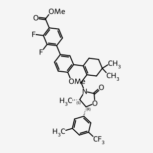 COC(=O)c1ccc(-c2ccc(OC)c(C3=C(CN4C(=O)O[C@H](c5cc(C)cc(C(F)(F)F)c5)[C@@H]4C)CC(C)(C)CC3)c2)c(F)c1F